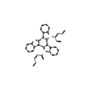 C=C/C=C\C(=C)n1c2ccccc2c2c1c1c3ccccc3oc1c1c3ccccc3n(/C(C=C)=C/C=C)c12